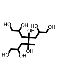 CC(O)(CC(O)CO)C(O)(CC(O)CO)CC(O)CO